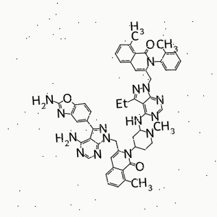 CCc1nn(Cc2cc3cccc(C)c3c(=O)n2-c2ccccc2C)c2ncnc(NC3CC(n4c(Cn5nc(-c6ccc7oc(N)nc7c6)c6c(N)ncnc65)cc5cccc(C)c5c4=O)CCN3C)c12